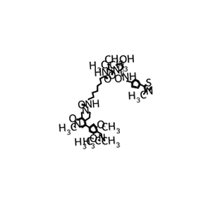 COc1cc(-c2cn(C)c(=O)c3c2CCN(C(=O)NCCCCCCCC(=O)N[C@H](C(=O)N2C[C@H](O)C[C@H]2C(=O)NCc2ccc(-c4scnc4C)cc2)C(C)(C)C)C3)cc(OC)c1CN(C)C